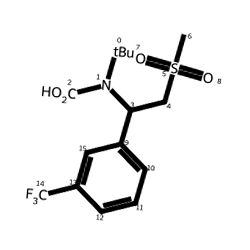 CC(C)(C)N(C(=O)O)C(CS(C)(=O)=O)c1cccc(C(F)(F)F)c1